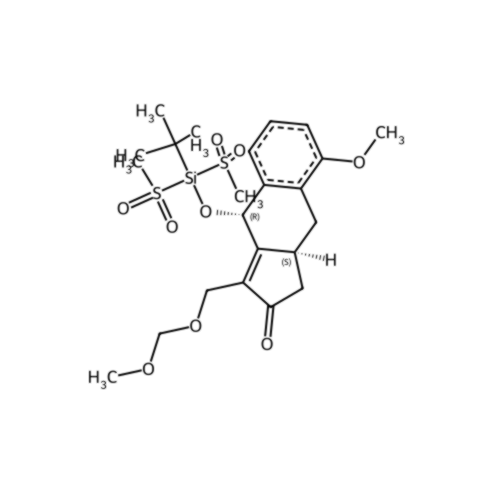 COCOCC1=C2[C@H](CC1=O)Cc1c(OC)cccc1[C@H]2O[Si](C(C)(C)C)(S(C)(=O)=O)S(C)(=O)=O